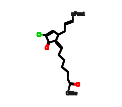 CCCCC/C=C/CC1C=C(Cl)C(=O)/C1=C\CCCCCC(=O)OC